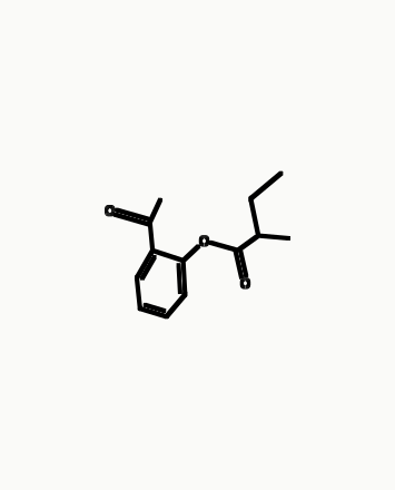 CCC(C)C(=O)Oc1ccccc1C(C)=O